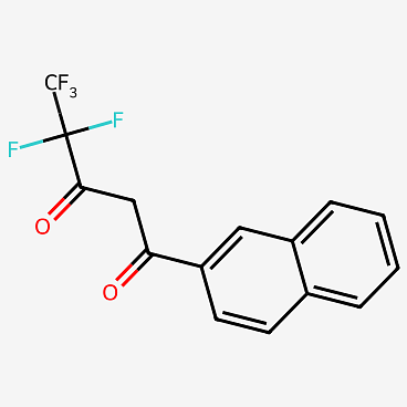 O=C(CC(=O)C(F)(F)C(F)(F)F)c1ccc2ccccc2c1